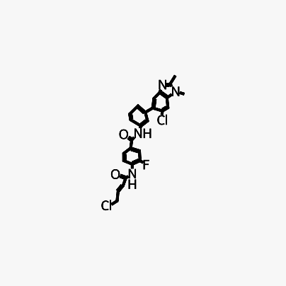 Cc1nc2cc(-c3cccc(NC(=O)c4ccc(NC(=O)C=CCCl)c(F)c4)c3)c(Cl)cc2n1C